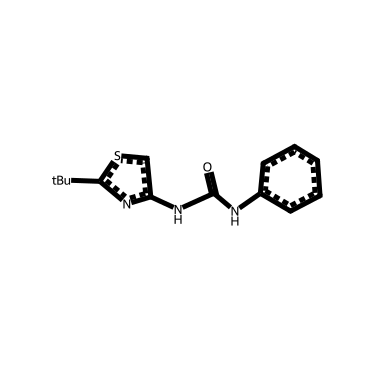 CC(C)(C)c1nc(NC(=O)Nc2ccccc2)cs1